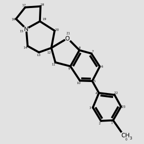 Cc1ccc(-c2ccc3c(c2)CC2(CCN4CCCC4C2)O3)cc1